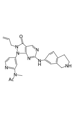 C=CCn1c(=O)c2cnc(Nc3ccc4c(c3)CNCC4)nc2n1-c1ccnc(N(C)C(C)=O)c1